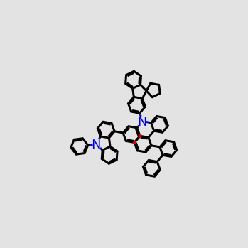 c1ccc(-c2ccccc2-c2ccccc2-c2ccccc2N(c2cccc(-c3cccc4c3c3ccccc3n4-c3ccccc3)c2)c2ccc3c(c2)C2(CCCC2)c2ccccc2-3)cc1